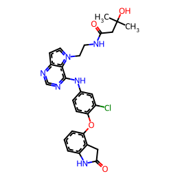 CC(C)(O)CC(=O)NCCn1ccc2ncnc(Nc3ccc(Oc4cccc5c4CC(=O)N5)c(Cl)c3)c21